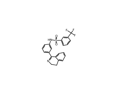 O=S(=O)(Nc1cccc(C2=NCCc3ccccc32)c1)c1cccc(C(F)(F)F)c1